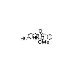 COC(=O)N[C@@H](Cc1ccc(O)cc1)C(=O)OCc1ccccc1